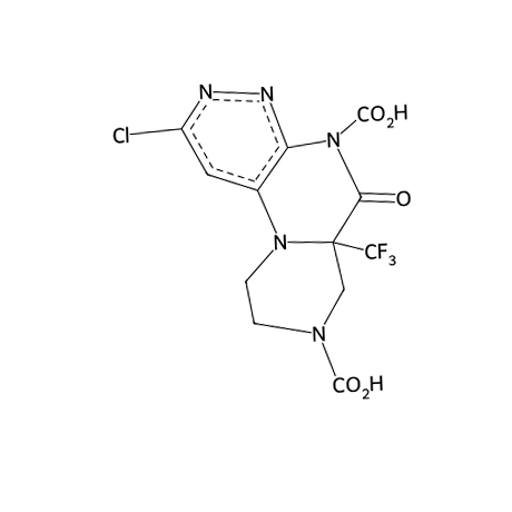 O=C(O)N1CCN2c3cc(Cl)nnc3N(C(=O)O)C(=O)C2(C(F)(F)F)C1